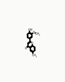 COc1cc(-c2cc(=O)c3cc(C)ccc3o2)ccc1O